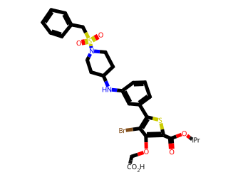 CC(C)OC(=O)c1sc(-c2cccc(NC3CCN(S(=O)(=O)Cc4ccccc4)CC3)c2)c(Br)c1OCC(=O)O